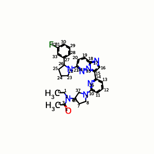 CCN(C(C)=O)[C@@H]1CCN(c2cccc(-c3cnc4ccc(N5CCCC5c5cccc(F)c5)nn34)n2)C1